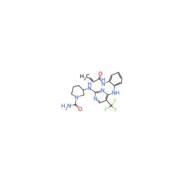 C=CC(=O)Nc1ccccc1Nc1nc(NC2CCCN(C(N)=O)C2)ncc1C(F)(F)F